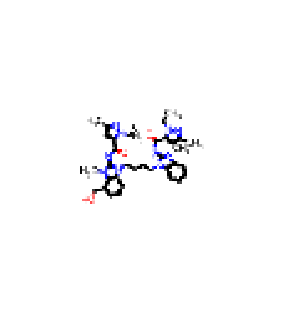 CCn1nc(C)cc1C(=O)N=c1n(C)c2c(CO)cccc2n1CCCCn1/c(=N/C(=O)c2cc(C)nn2CC)n(C)c2ccccc21